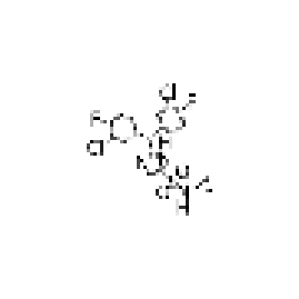 O=S(=O)(NC1CC1)c1cnc(C(c2ccc(F)c(Cl)c2)c2ccc(F)c(Cl)c2)[nH]1